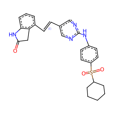 O=C1Cc2c(/C=C/c3cnc(Nc4ccc(S(=O)(=O)C5CCCCC5)cc4)nc3)cccc2N1